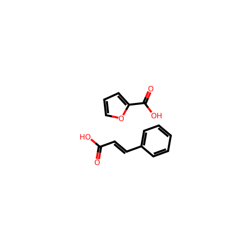 O=C(O)C=Cc1ccccc1.O=C(O)c1ccco1